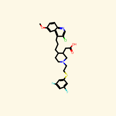 COc1ccc2ncc(Cl)c(CCCC3CCN(CCSc4cc(F)cc(F)c4)CC3CC(=O)O)c2c1